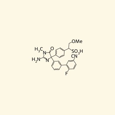 COCC(c1ccc(C2(c3cccc(-c4cc(C#N)ccc4F)c3)N=C(N)N(C)C2=O)cc1)S(=O)(=O)O